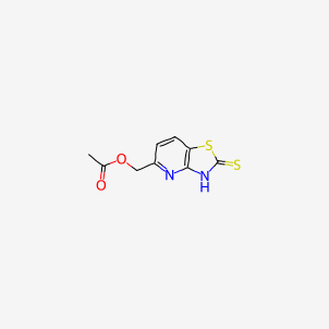 CC(=O)OCc1ccc2sc(=S)[nH]c2n1